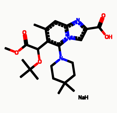 COC(=O)C(OC(C)(C)C)c1c(C)cc2nc(C(=O)O)cn2c1N1CCC(C)(C)CC1.[NaH]